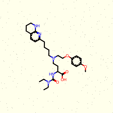 CCN(CC)C(=O)NC(CCN(CCCCc1ccc2c(n1)NCCC2)CCOc1ccc(OC)cc1)C(=O)O